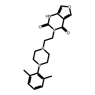 Cc1cccc(C)c1N1CCN(CCn2c(=O)[nH]c3cocc3c2=O)CC1